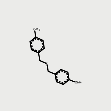 COc1ccc(CSCc2ccc(OC)cc2)cc1